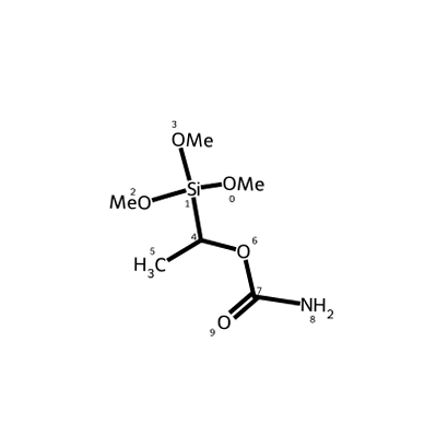 CO[Si](OC)(OC)C(C)OC(N)=O